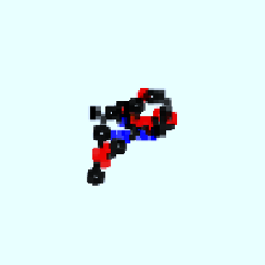 COc1ccc(S(=O)(=O)N(CC(C)C)C[C@@H](O)[C@H](CNc2ccc(CP(=O)(OCc3ccccc3)OCc3ccccc3)cc2)NC(=O)O[C@H]2CO[C@H]3OCC[C@H]32)cc1